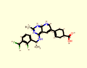 Cc1nc(N[C@H](C)c2cccc(C(F)F)c2F)c2cc(C3=CCC(C(=O)O)CC3)cnc2n1